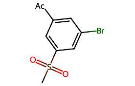 CC(=O)c1cc(Br)cc(S(C)(=O)=O)c1